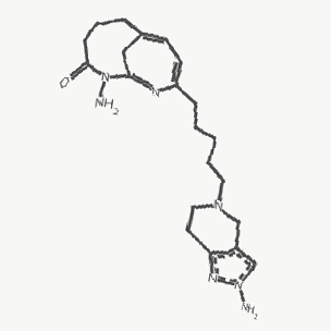 NN1C(=O)CCCC2=CC=C(CCCCCN3CCc4nn(N)cc4C3)N=C1C2